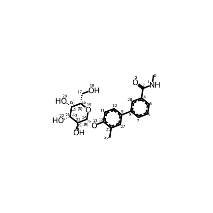 CNC(=O)c1cccc(-c2ccc(O[C@H]3O[C@@H](CO)[C@@H](O)[C@@H](O)[C@@H]3O)c(C)c2)c1